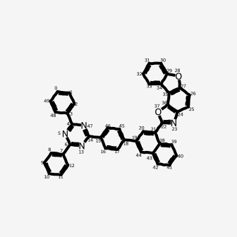 c1ccc(-c2nc(-c3ccccc3)nc(-c3ccc(-c4cc(-c5nc6ccc7oc8ccccc8c7c6o5)c5ccccc5c4)cc3)n2)cc1